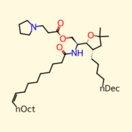 CCCCCCCC/C=C\CCCCCCCC(=O)N[C@@H](COC(=O)CCN1CCCC1)[C@@H]1OC(C)(C)C[C@@H]1CCCCCCCCCCCCCC